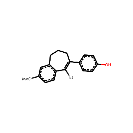 CCC1=C(c2ccc(O)cc2)CCCc2cc(OC)ccc21